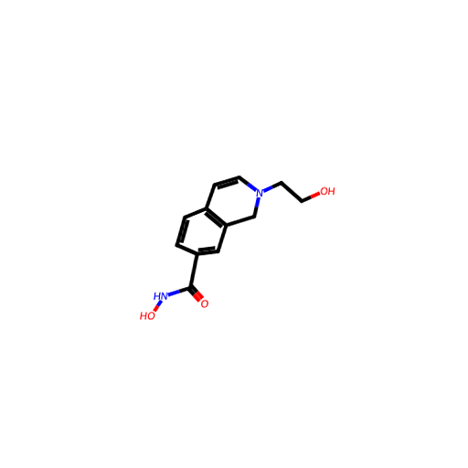 O=C(NO)c1ccc2c(c1)CN(CCO)C=C2